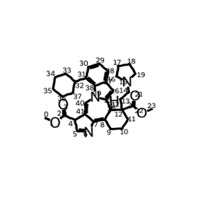 COC(=O)C1C=NC2=C3CCCC(CCN4CCCC4)(C(=O)OC)[C@H]3c3cc4cccc(C5CCCCC5)c4n3C=C21